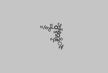 COCC(=O)NCc1ccc(C(F)(F)F)c(Nc2nc3cc(C(=O)N[C@H]4CC[C@H](C(F)(F)F)CC4)c(OCC(F)F)nc3[nH]2)c1